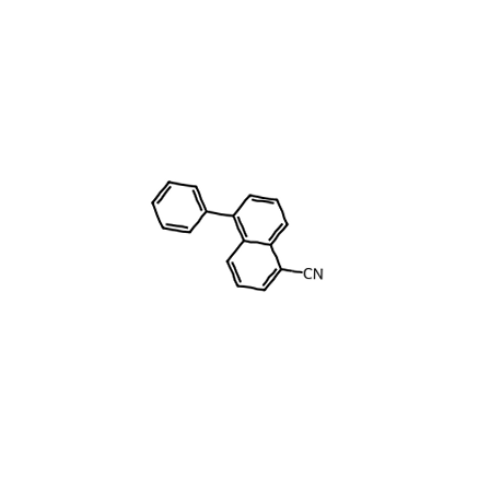 N#Cc1cccc2c(-c3ccccc3)cccc12